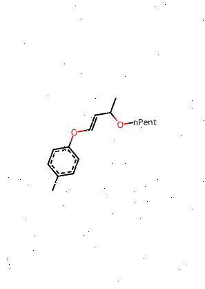 CCCCCOC(C)C=COc1ccc(C)cc1